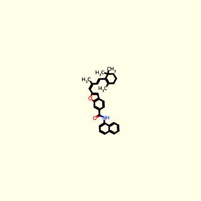 CC(C=CC1=C(C)CCCC1(C)C)=Cc1cc2ccc(C(=O)Nc3cccc4ccccc34)cc2o1